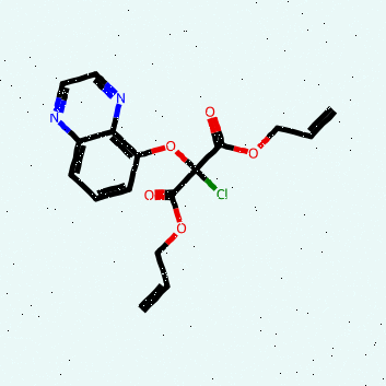 C=CCOC(=O)C(Cl)(Oc1cccc2nccnc12)C(=O)OCC=C